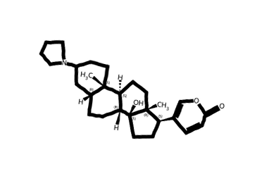 C[C@]12CCC(N3CCCC3)C[C@H]1CC[C@@H]1[C@@H]2CC[C@]2(C)[C@@H](c3ccc(=O)oc3)CC[C@]12O